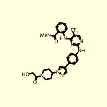 CNC(=O)c1ccccc1Nc1nc(Nc2ccc(-c3cnn(C4CCN(C(=O)CO)CC4)c3)cc2)ncc1C(F)(F)F